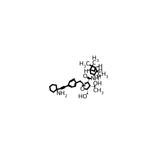 C[C@@H]1[C@@H](NC(=O)[C@@H]2[C@H]([C@H](C)O)[C@H](CO)ON2Cc2ccc(C#CC3(N)CCCCC3)cc2)C[C@H]2C[C@@H]1C2(C)C